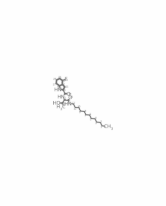 CCCCCCCCCCCCCNC(=O)[C@@H](NC(=O)c1cc2c(F)cccc2[nH]1)[C@@H](C)O